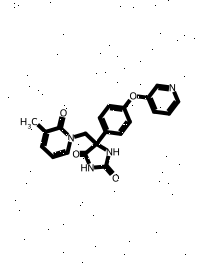 Cc1cccn(CC2(c3ccc(Oc4cccnc4)cc3)NC(=O)NC2=O)c1=O